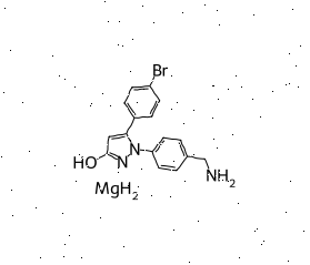 NCc1ccc(-n2nc(O)cc2-c2ccc(Br)cc2)cc1.[MgH2]